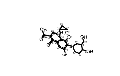 COc1c(N2CCC(O)C(CO)C2)c(F)cc2c(=O)c(C(=O)O)cn(C3CC3)c12